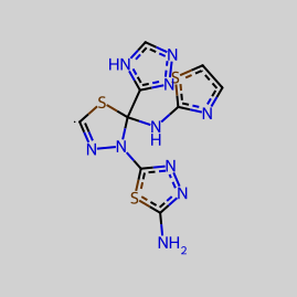 Nc1nnc(N2N=[C]SC2(Nc2nccs2)c2nnc[nH]2)s1